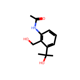 CC(=O)Nc1cccc(C(C)(C)O)c1CO